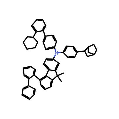 CC1(C)c2cc(N(c3ccc(-c4ccccc4C4CCCCC4)cc3)c3ccc(C4CC5CCC4C5)cc3)ccc2-c2c(-c3ccccc3-c3ccccc3)cccc21